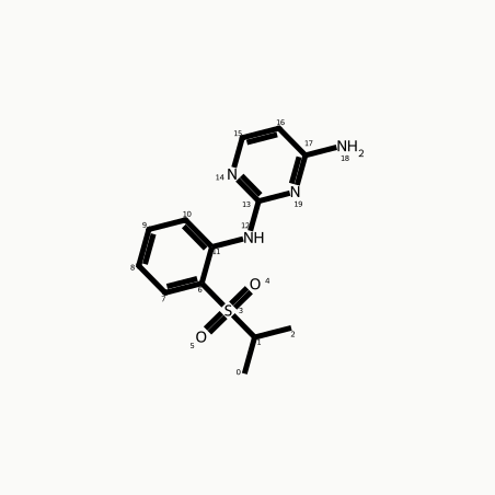 CC(C)S(=O)(=O)c1ccccc1Nc1nccc(N)n1